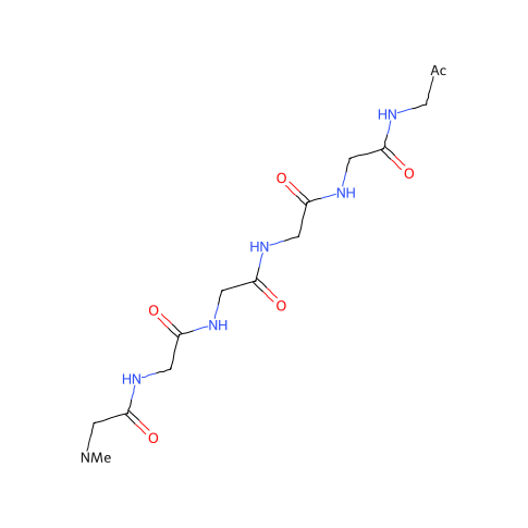 CNCC(=O)NCC(=O)NCC(=O)NCC(=O)NCC(=O)NCC(C)=O